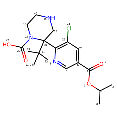 CC(C)OC(=O)c1cnc(C2(C(C)(C)C)CNCCN2C(=O)O)c(Cl)c1